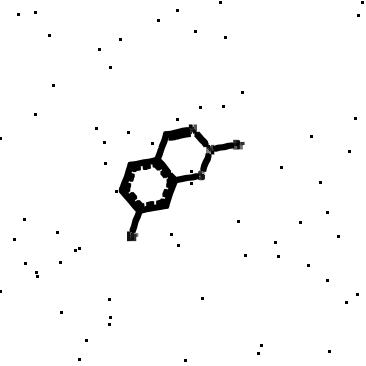 Brc1ccc2c(c1)SN(Br)N=C2